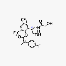 CN(C(=O)Oc1c(/C(C=N)=C/NC(=O)CO)cc(C(F)(F)F)cc1C(F)(F)F)c1ccc(F)cc1